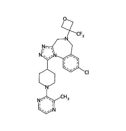 Cc1nccnc1N1CCC(c2nnc3n2-c2ccc(Cl)cc2CN(C2(C(F)(F)F)COC2)C3)CC1